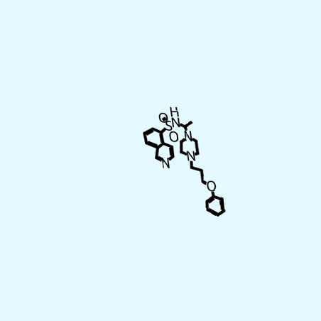 CC(NS(=O)(=O)c1cccc2cnccc12)N1CCN(CCCOc2ccccc2)CC1